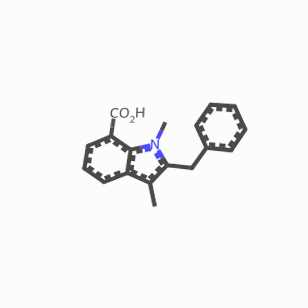 Cc1c(Cc2ccccc2)n(C)c2c(C(=O)O)cccc12